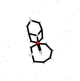 O=C1CC2COCC(C1)N2C1CCCCCCC1